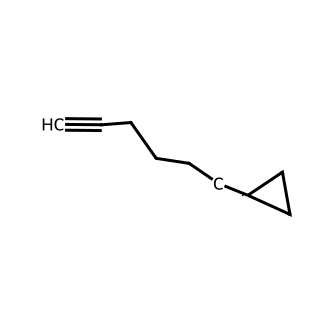 C#CCCCC[C]1CC1